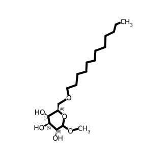 CCCCCCCCCCCCOC[C@H]1OC(OC)[C@H](O)[C@@H](O)[C@@H]1O